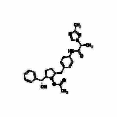 CC(=O)ON1[C@H](Cc2ccc(NC(=O)[C@H](C)n3cnc(C)n3)cc2)CC[C@@H]1[C@H](O)c1ccccc1